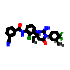 C[C@@H]1C[C@H](N2C(=N)N[C@](C)(c3cccc(NC(=O)c4cccc(C#N)c4)c3Cl)CC2=O)CCC1(F)F